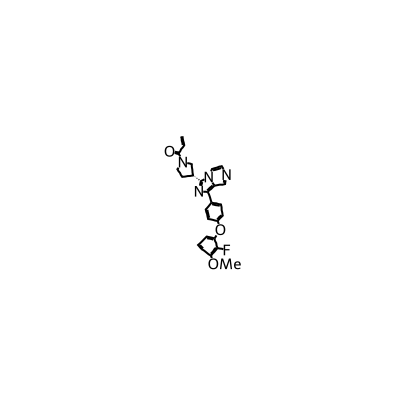 C=CC(=O)N1CC[C@@H](c2nc(-c3ccc(Oc4cccc(OC)c4F)cc3)c3cnccn23)C1